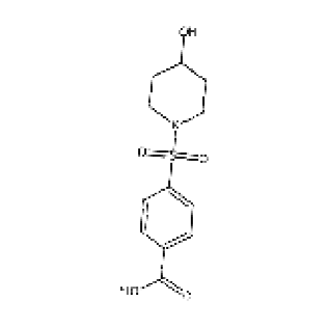 O=C(O)c1ccc(S(=O)(=O)N2CCC(O)CC2)cc1